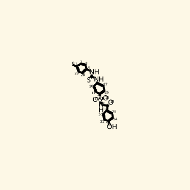 Cc1ccc(NC(=S)Nc2ccc(S(=O)(=O)NC(=O)c3ccc(O)cc3)cc2)cc1